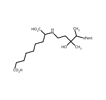 CCCCCC(C)C(C)(O)CCNC(CCCCCCC(=O)O)C(=O)O